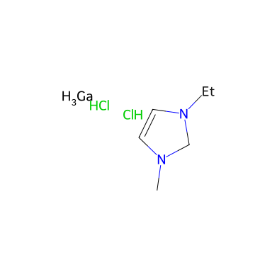 CCN1C=CN(C)C1.Cl.Cl.[GaH3]